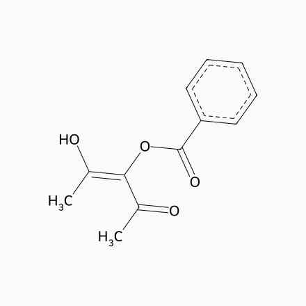 CC(=O)C(OC(=O)c1ccccc1)=C(C)O